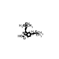 C[Si](C)(C)C#Cc1ccc2c(c1)c(C#C[Si](C)(C)C)nn2C(=O)O